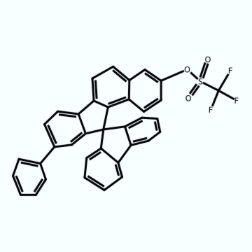 O=S(=O)(Oc1ccc2c3c(ccc2c1)-c1ccc(-c2ccccc2)cc1C31c2ccccc2-c2ccccc21)C(F)(F)F